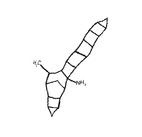 CC1C2CC(C3C4CC4C23)C2(N)C1C1C3C4C5C6CC6C5C4C3C12